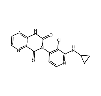 O=c1[nH]c2nccnc2c(=O)n1-c1ccnc(NC2CC2)c1Cl